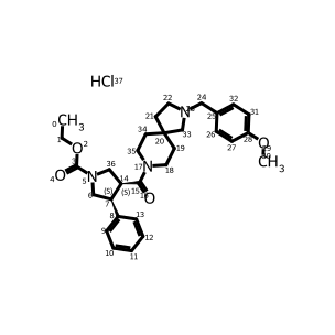 CCOC(=O)N1C[C@H](c2ccccc2)[C@H](C(=O)N2CCC3(CCN(Cc4ccc(OC)cc4)C3)CC2)C1.Cl